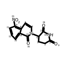 O=C1CCC(n2ccc3c([N+](=O)[O-])cccc3c2=O)C(=O)N1